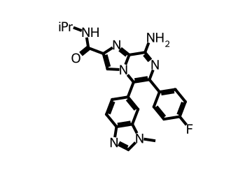 CC(C)NC(=O)c1cn2c(-c3ccc4ncn(C)c4c3)c(-c3ccc(F)cc3)nc(N)c2n1